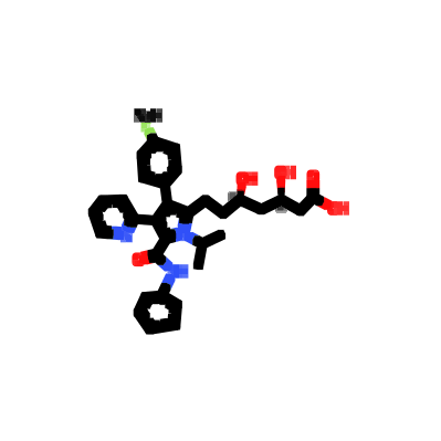 CC(C)n1c(CC[C@@H](O)C[C@@H](O)CC(=O)O)c(-c2ccc(F)cc2)c(-c2ccccn2)c1C(=O)Nc1ccccc1.[NaH]